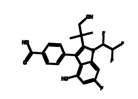 CC(C)(CO)c1c(-c2ccc(C(=O)O)cc2)c2c(O)cc(F)cc2n1C(F)C(F)F